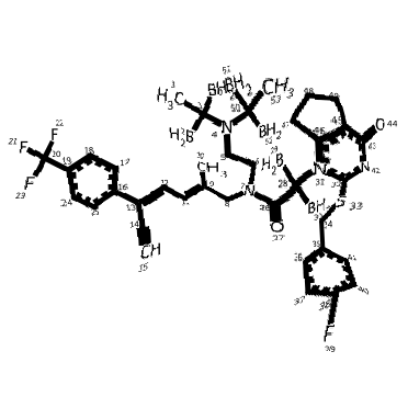 BC(B)(C)N(CCN(C/C(C)=C/C=C(\C#C)c1ccc(C(F)(F)F)cc1)C(=O)C(B)(B)n1c(SCc2ccc(F)cc2)nc(=O)c2c1CCC2)C(B)(B)C